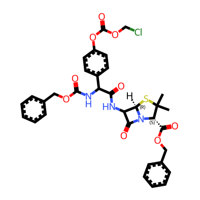 CC1(C)S[C@@H]2C(NC(=O)C(NC(=O)OCc3ccccc3)c3ccc(OC(=O)OCCl)cc3)C(=O)N2[C@H]1C(=O)OCc1ccccc1